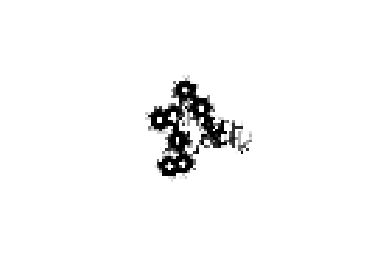 CC1(C)OB(c2ccc3c4ccccc4n(/C=C/c4ccccc4C(=N)c4ccc(-c5cccc6ccccc56)cc4)c3c2)OC1(C)C